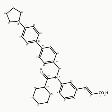 O=C(O)/C=C/c1cccc(N(Cc2ccc(-c3ccc(N4CCCC4)cc3)cc2)C(=O)C2CCCCC2)c1